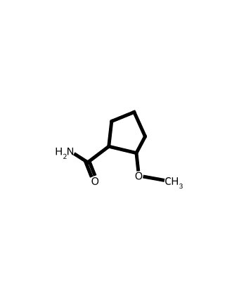 COC1CCCC1C(N)=O